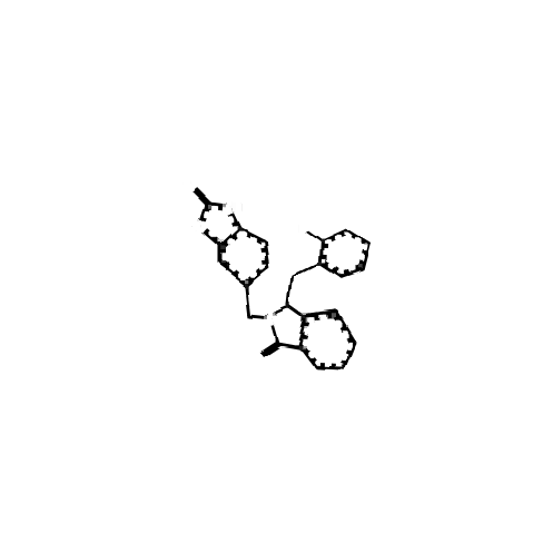 O=C1c2ccccc2C(Cc2ccccc2F)N1Cc1ccc2[nH]c(=O)oc2c1